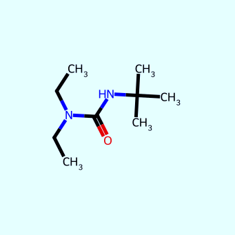 CCN(CC)C(=O)NC(C)(C)C